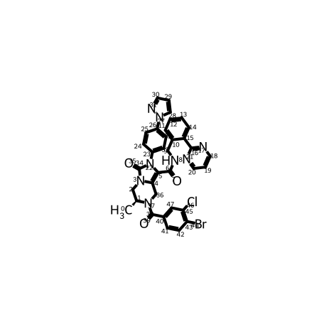 C[C@H]1Cn2c(c(C(=O)NCc3ccccc3-c3ncccn3)n(-c3ccc(-n4cccn4)cc3)c2=O)CN1C(=O)c1ccc(Br)c(Cl)c1